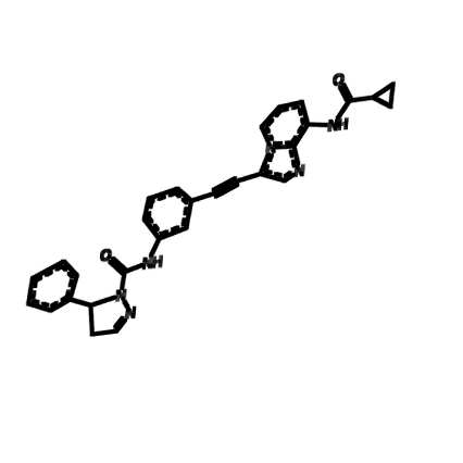 O=C(Nc1cccn2c(C#Cc3cccc(NC(=O)N4N=CCC4c4ccccc4)c3)cnc12)C1CC1